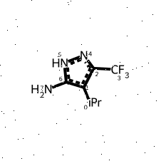 CC(C)c1c(C(F)(F)F)n[nH]c1N